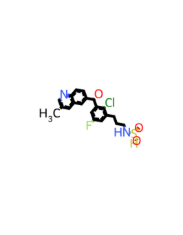 Cc1cnc2ccc(C(=O)c3cc(F)cc(CCCN[SH](=O)=O)c3Cl)cc2c1